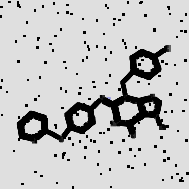 CC(C)n1cnc2c1c(=O)[nH]/c(=N\c1ccc(Oc3ccccn3)cc1)n2Cc1ccc(Cl)cc1